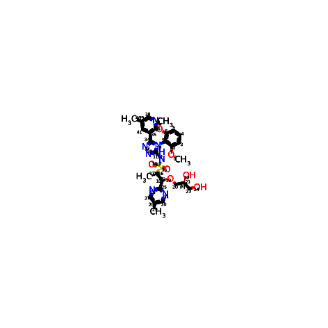 COc1cccc(OC)c1-n1c(NS(=O)(=O)[C@H](C)[C@@H](OC[C@H](O)CO)c2ncc(C)cn2)nnc1-c1cncc(C)c1